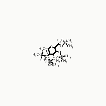 C[C@@H]1OC(CO[Si](C)(C)C)[C@@H](O[Si](C)(C)C)[C@H](O[Si](C)(C)C)C1O[Si](C)(C)C